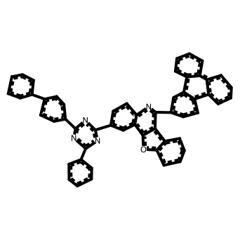 c1ccc(-c2ccc(-c3nc(-c4ccccc4)nc(-c4ccc5nc(-c6ccc7c8ccccc8c8ccccc8c7c6)c6c7ccccc7oc6c5c4)n3)cc2)cc1